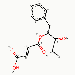 CCC(=O)C(Cc1ccccc1)OC(=O)/C=C/C(=O)O